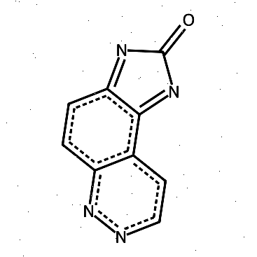 O=C1N=c2ccc3nnccc3c2=N1